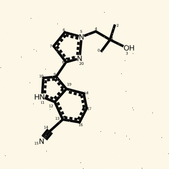 CC(C)(O)Cn1ccc(-c2c[nH]c3c(C#N)cccc23)n1